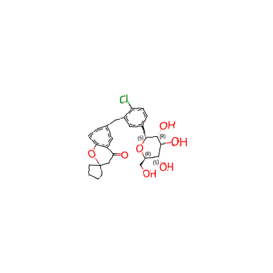 O=C1CC2(CCCC2)Oc2ccc(Cc3cc([C@@H]4O[C@H](CO)[C@@H](O)C(O)[C@H]4O)ccc3Cl)cc21